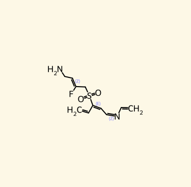 C=C/N=C\C=C(/C=C)S(=O)(=O)C/C(F)=C/CN